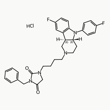 Cl.O=C1CN(CCCCN2CC[C@@H]3[C@@H](C2)c2cc(F)ccc2N3c2ccc(F)cc2)C(=O)N1Cc1ccccc1